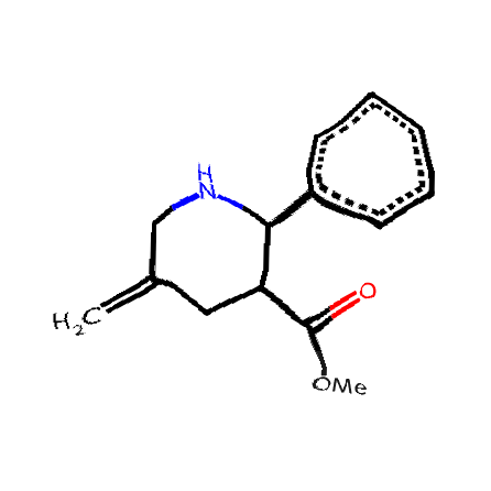 C=C1CNC(c2ccccc2)C(C(=O)OC)C1